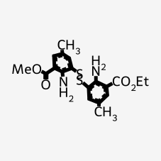 CCOC(=O)c1cc(C)cc(SSc2cc(C)cc(C(=O)OC)c2N)c1N